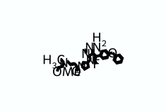 COCCN(C)CC=CC(=O)N1CCC(n2c(F)c(-c3ccc(Oc4ccccc4)cc3)c3c(N)ncnc32)C1